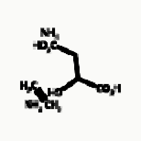 C=C.N.N.O=C(O)CC(O)C(=O)O